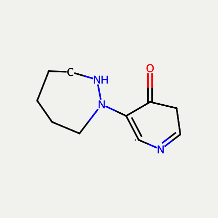 O=C1CC=N[C]=C1N1CCCCCN1